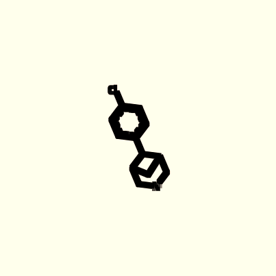 Clc1ccc(C2C3C[N]CC2C3)cc1